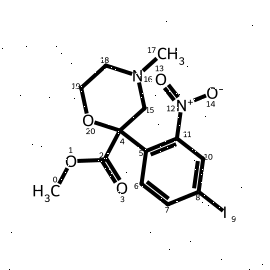 COC(=O)C1(c2ccc(I)cc2[N+](=O)[O-])CN(C)CCO1